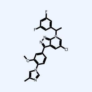 COc1cc(-c2nnc3n(C(C)c4cc(F)cc(F)c4)cc(Cl)cc2-3)ccc1-n1cnc(C)c1